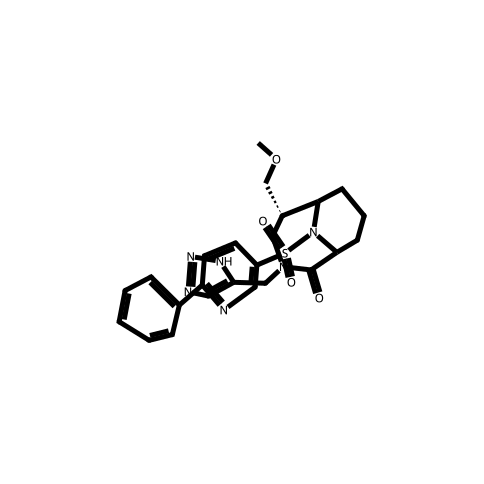 COC[C@H]1CN(Cc2cnn[nH]2)C(=O)C2CCCC1N2S(=O)(=O)c1ccc(-c2ccccc2)nc1